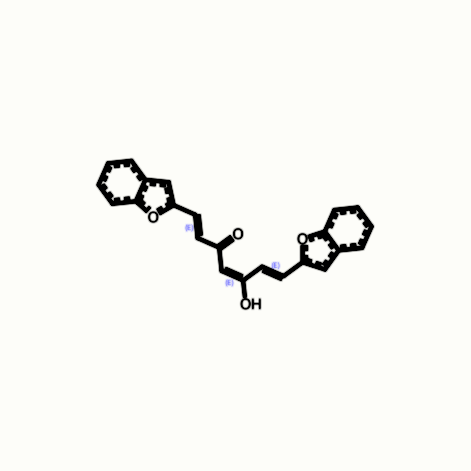 O=C(/C=C/c1cc2ccccc2o1)/C=C(O)\C=C\c1cc2ccccc2o1